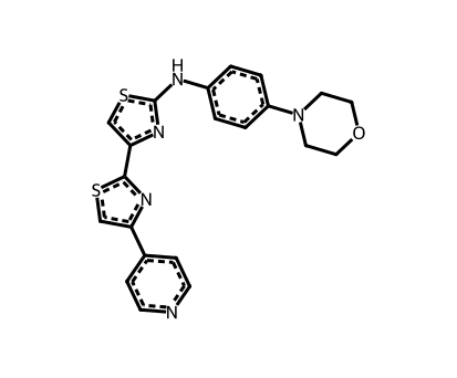 c1cc(-c2csc(-c3csc(Nc4ccc(N5CCOCC5)cc4)n3)n2)ccn1